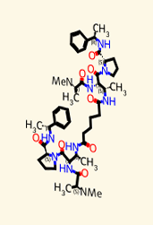 CN[C@@H](C)C(=O)N[C@H](C(=O)N1CCC[C@H]1C(=O)N[C@H](C)c1ccccc1)[C@H](C)NC(=O)CCCCC(=O)N[C@@H](C)[C@H](NC(=O)[C@H](C)NC)C(=O)N1CCC[C@H]1C(=O)N[C@H](C)c1ccccc1